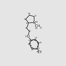 CCc1ccc(OCCC2CCCN2C)cc1